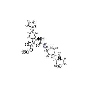 CC(C)(C)OC(=O)Nc1ccc(-c2cccs2)cc1NC(=O)/C=C/c1ccc(CN2CCOCC2)cc1